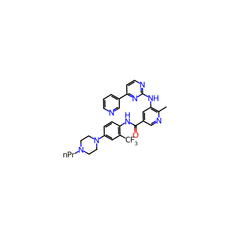 CCCN1CCN(c2ccc(NC(=O)c3cnc(C)c(Nc4nccc(-c5cccnc5)n4)c3)c(C(F)(F)F)c2)CC1